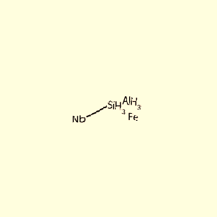 [AlH3].[Fe].[SiH3][Nb]